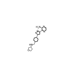 Nc1nccnc1-c1cc(-c2ccc(CNC3CCOC3)cc2)no1